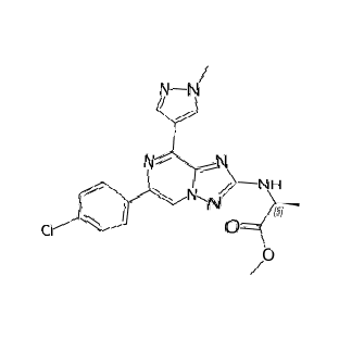 COC(=O)[C@H](C)Nc1nc2c(-c3cnn(C)c3)nc(-c3ccc(Cl)cc3)cn2n1